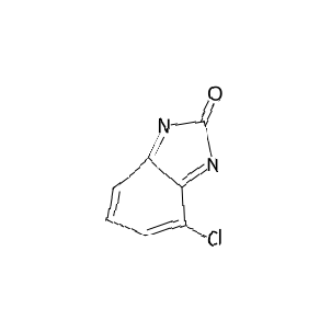 O=C1N=c2cccc(Cl)c2=N1